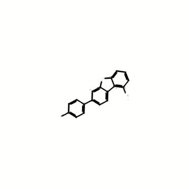 Clc1ccc(-c2ccc3c(c2)oc2cccc(Br)c23)cc1